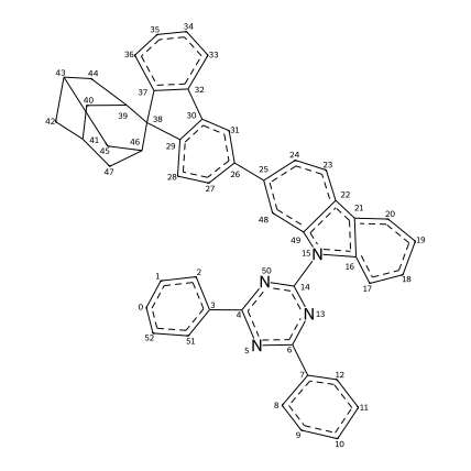 c1ccc(-c2nc(-c3ccccc3)nc(-n3c4ccccc4c4ccc(-c5ccc6c(c5)-c5ccccc5C65C6CC7CC(C6)CC5C7)cc43)n2)cc1